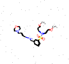 COCCN(CCOC)S(=O)(=O)c1cccc(CNCCCN2CCOCC2)c1